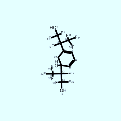 OC(F)(F)C(F)(C1=CC=CC(O)(C(F)(C(O)(F)F)C(F)(F)F)C1)C(F)(F)F